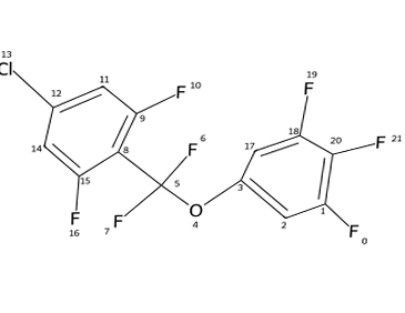 Fc1cc(OC(F)(F)c2c(F)cc(Cl)cc2F)cc(F)c1F